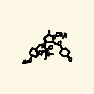 COc1ccc(CN([C@H]2C[C@@H](C)N(C(=O)O)[C@H]2COC2CCC(=O)CC2)S(=O)(=O)N(C)C)cc1